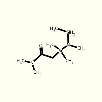 C[SiH2]N(C)[Si](C)(C)CC(=O)N(C)C